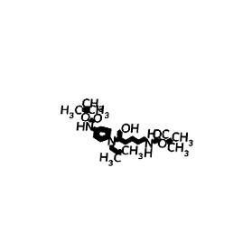 CC(C)CN(c1ccc(NC(=O)OC(C)(C)C)cc1)C(CO)CCCCNC(=O)OC(C)(C)C